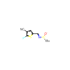 CC(C)(C)[S@+]([O-])/N=C/c1cc(C#N)c(F)s1